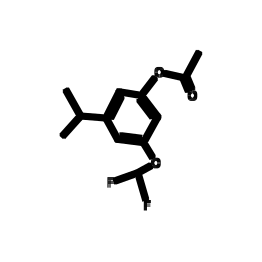 C[C](C)c1cc(OC(C)=O)cc(OC(F)F)c1